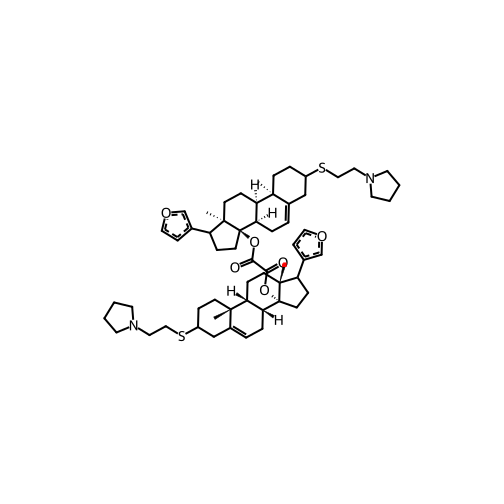 C[C@]12CCC(SCCN3CCCC3)CC1=CC[C@@H]1[C@H]2CC[C@]2(C)C(c3ccoc3)CC[C@@]12OC(=O)C(=O)O[C@@]12CCC(c3ccoc3)[C@@]1(C)CC[C@@H]1[C@H]2CC=C2CC(SCCN3CCCC3)CC[C@@]21C